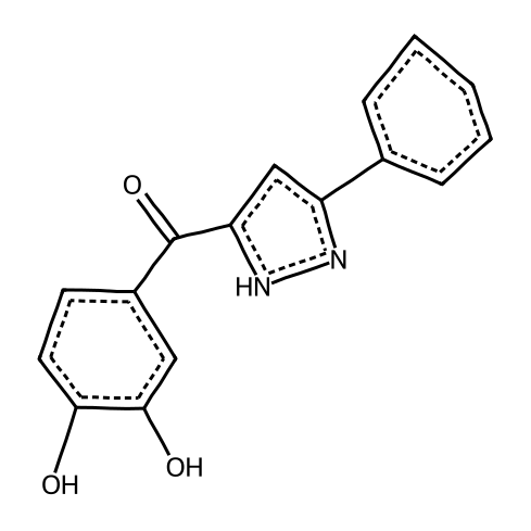 O=C(c1ccc(O)c(O)c1)c1cc(-c2ccccc2)n[nH]1